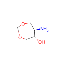 N[C@@H]1COCOC[C@H]1O